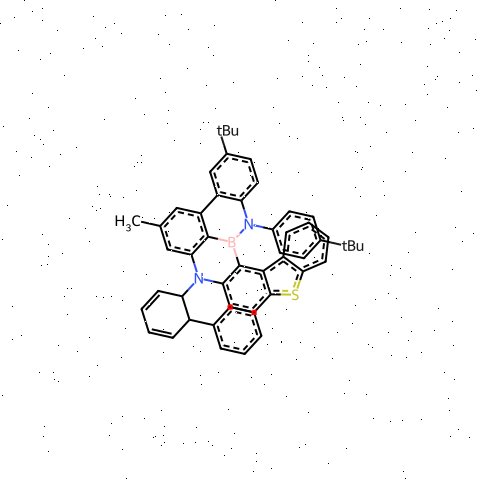 Cc1cc2c3c(c1)N(C1C=CC=CC1c1ccccc1)c1ccc4sc5ccccc5c4c1B3N(c1ccc(C(C)(C)C)cc1)c1ccc(C(C)(C)C)cc1-2